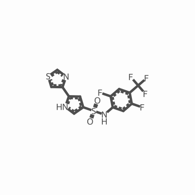 O=S(=O)(Nc1cc(F)c(C(F)(F)F)cc1F)c1c[nH]c(-c2cscn2)c1